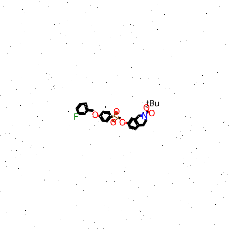 CC(C)(C)OC(=O)N1CCc2ccc(OCS(=O)(=O)c3ccc(OCc4cccc(F)c4)cc3)cc2C1